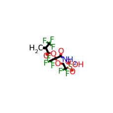 C=C(C(=O)OC(OCC(F)(F)S(=O)(=O)O)(C(N)=O)C(F)(F)F)C(F)(F)F